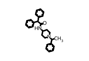 CC(c1ccccc1)N1CCC(NC(=O)C(c2ccccc2)c2ccccc2)CC1